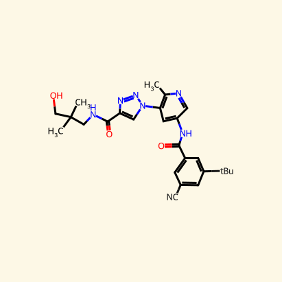 Cc1ncc(NC(=O)c2cc(C#N)cc(C(C)(C)C)c2)cc1-n1cc(C(=O)NCC(C)(C)CO)nn1